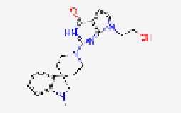 CN1CC2(CCN(c3nc4c(ccn4CCO)c(=O)[nH]3)CC2)c2ccccc21